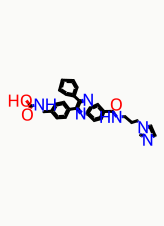 O=C(O)NCc1ccc(-c2nc3ccc(C(=O)NCCCn4ccnc4)cc3nc2-c2ccccc2)cc1